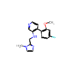 COc1cc(F)ccc1-c1ccncc1NCc1nccn1C